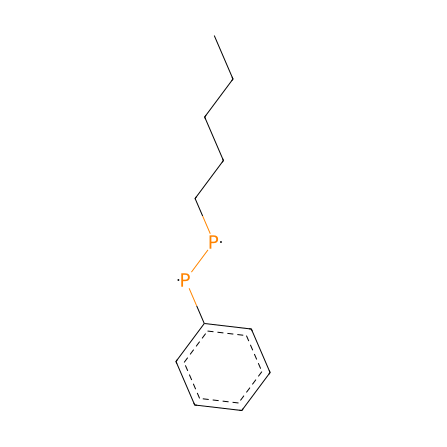 CCCCC[P][P]c1ccccc1